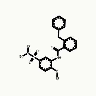 CCOc1ccc(S(=O)(=O)N(CC)CC)cc1NC(=O)c1ccccc1Cc1ccccc1